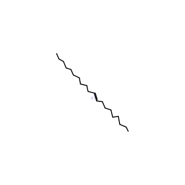 CCCCCCCC/C=C/CCCCCCCCCC